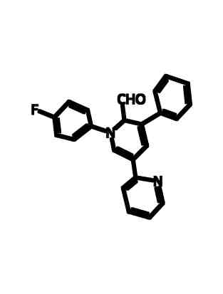 O=CC1C(c2ccccc2)=CC(c2ccccn2)=CN1c1ccc(F)cc1